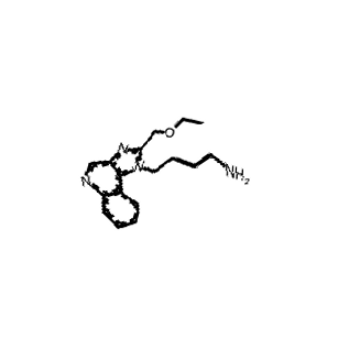 CCOCc1nc2cnc3ccccc3c2n1CCCCN